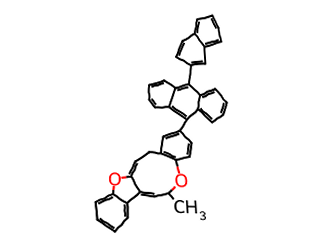 CC1/C=c2\c(oc3ccccc23)=C/Cc2cc(-c3c4ccccc4c(-c4ccc5ccccc5c4)c4ccccc34)ccc2O1